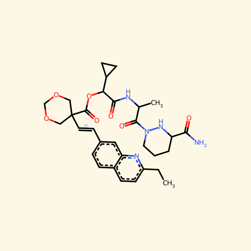 CCc1ccc2ccc(/C=C/C3(C(=O)OC(C(=O)NC(C)C(=O)N4CCCC(C(N)=O)N4)C4CC4)COCOC3)cc2n1